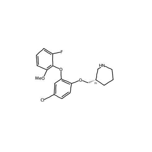 COc1cccc(F)c1Oc1cc(Cl)ccc1OC[C@H]1CCCNC1